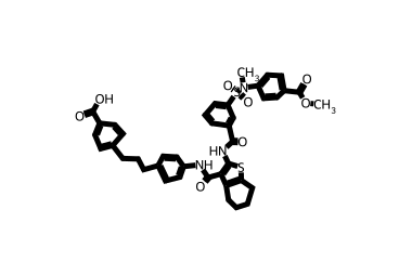 COC(=O)c1ccc(N(C)S(=O)(=O)c2cccc(C(=O)Nc3sc4c(c3C(=O)Nc3ccc(CCCc5ccc(C(=O)O)cc5)cc3)CCCC4)c2)cc1